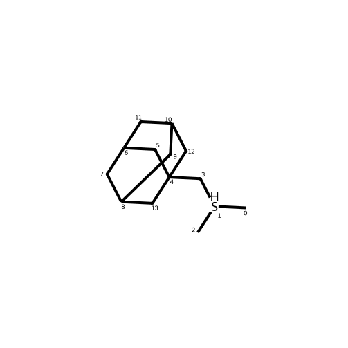 C[SH](C)CC12CC3CC(CC(C3)C1)C2